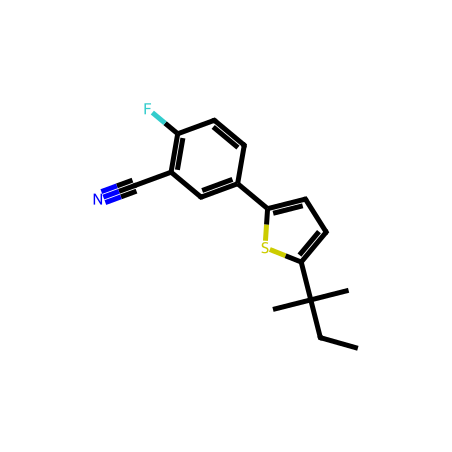 CCC(C)(C)c1ccc(-c2ccc(F)c(C#N)c2)s1